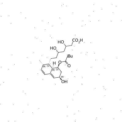 CCC(C)C(=O)O[C@H]1C[C@@H](O)C=C2C=C[C@H](C)[C@H](CCC(O)CC(O)CC(=O)O)[C@H]21